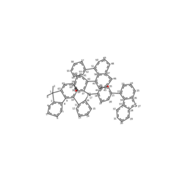 CC1(C)c2ccccc2-c2c(-c3ccccc3N(c3ccc(-c4cccc5sc6ccccc6c45)cc3)c3ccccc3-c3cccc4cccc(-c5ccccc5)c34)cccc21